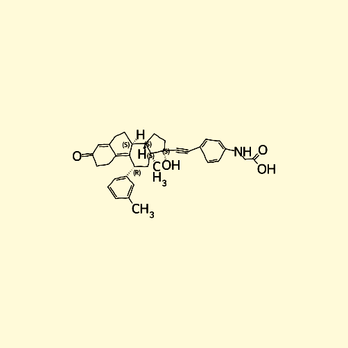 Cc1cccc([C@H]2C[C@@]3(C)[C@@H](CC[C@@]3(O)C#Cc3ccc(NCC(=O)O)cc3)[C@@H]3CCC4=CC(=O)CCC4=C32)c1